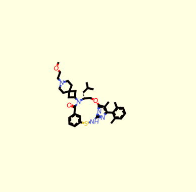 COCCN1CCC2(CC1)CC(N1C(=O)c3cccc(c3)SNc3nc(c(C)c(-c4c(C)cccc4C)n3)OC[C@H]1CC(C)C)C2